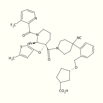 [C-]#[N+]C1(c2ccccc2CO[C@H]2CCC(C(=O)O)C2)CCN(C(=O)[C@]2(Oc3csc(C)c3)CCCN(C(=O)c3ncccc3C(F)(F)F)[C@@H]2CCC)CC1